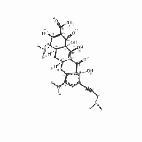 CN(C)CC#Cc1cc(N(C)C)c2c(c1O)C(=O)C1=C(O)[C@]3(O)C(=O)C(C(N)=O)=C(O)[C@@H](N(C)C)[C@@H]3C[C@@H]1C2